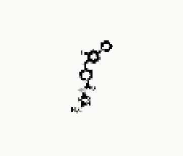 Cc1nsc(NC(=O)N2CCC(Cc3ccc(N4CCCC4)cc3F)CC2)n1